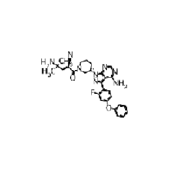 CC(C)(N)C=C(C#N)C(=O)N1CCC[C@H](n2nc(-c3ccc(Oc4ccccc4)cc3F)c3c(N)ncnc32)C1